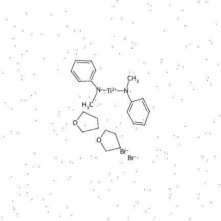 C1CCOC1.C1CCOC1.C[N]([Ti+2][N](C)c1ccccc1)c1ccccc1.[Br-].[Br-]